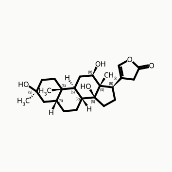 C[C@]1(O)CC[C@@]2(C)[C@H](CC[C@@H]3[C@@H]2C[C@@H](O)[C@]2(C)[C@@H](C4=COC(=O)C4)CC[C@]32O)C1